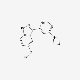 CC(C)Oc1ccc2[nH]nc(-c3cc(N4CCC4)ncn3)c2c1